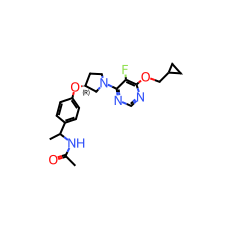 CC(=O)NC(C)c1ccc(O[C@@H]2CCN(c3ncnc(OCC4CC4)c3F)C2)cc1